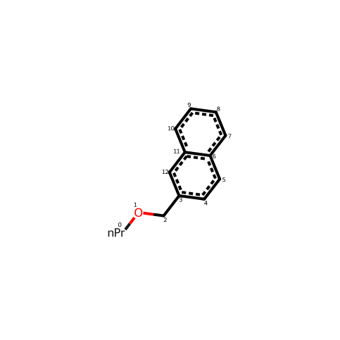 [CH2]CCOCc1ccc2ccccc2c1